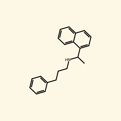 CC(NCCCc1ccccc1)c1cccc2ccccc12